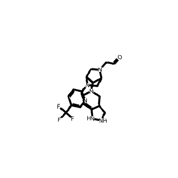 O=CCN1CC2C(N3CC=C4NNCC4C3)C1CN2c1ccc(C(F)(F)F)cn1